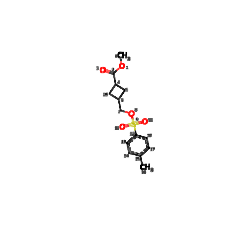 COC(=O)C1CC(COS(=O)(=O)c2ccc(C)cc2)C1